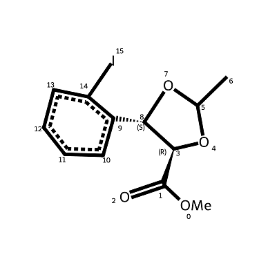 COC(=O)[C@@H]1OC(C)O[C@H]1c1ccccc1I